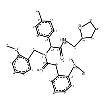 COc1ccccc1CN(C(=O)Cc1ccccc1N(C)C)C(C(=O)NCC1CCCO1)c1ccc(C)cc1